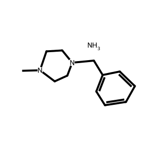 CN1CCN(Cc2ccccc2)CC1.N